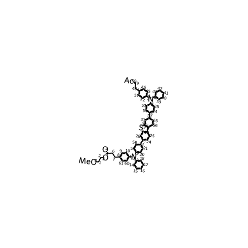 COCCOC(=O)CCc1ccc(N(c2ccccc2)c2ccc(-c3ccc4c(c3)sc3cc(-c5ccc(N(c6ccccc6)c6ccc(CCC(C)=O)cc6)cc5)ccc34)cc2)cc1